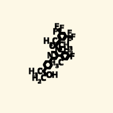 C=C(O)C(C)C1CCC(c2cc(-c3ccc(F)cc3C)c(N(C)C(=O)C(C)(C)c3cc(C(F)(F)F)cc(C(F)(F)F)c3)cn2)CC1